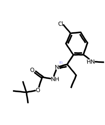 CC/C(=N\NC(=O)OC(C)(C)C)c1cc(Cl)ccc1NC